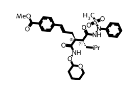 COC(=O)c1ccc(C=CC[C@H](C(=O)NOC2CCCCO2)[C@@H](CC(C)C)C(=O)NN(c2ccccc2)S(C)(=O)=O)cc1